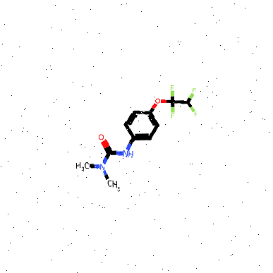 CN(C)C(=O)Nc1ccc(OC(F)(F)C(F)F)cc1